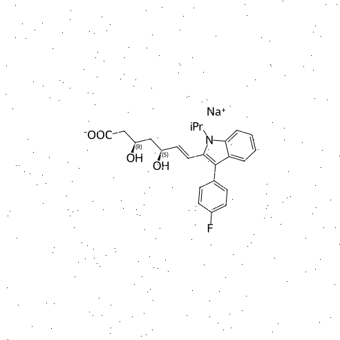 CC(C)n1c(C=C[C@@H](O)C[C@@H](O)CC(=O)[O-])c(-c2ccc(F)cc2)c2ccccc21.[Na+]